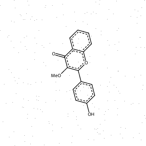 COc1c(-c2ccc(O)cc2)oc2ccccc2c1=O